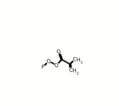 C=C(C)C(=O)OOF